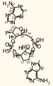 Nc1ncnc2c1ncn2[C@@H]1C[C@@H]2OP(=O)(S)O[C@H]3[C@@H](F)[C@H](n4cnc5c(N)ncnc54)O[C@@H]3CSP(=O)(O)O[C@@H]1[C@@H]2O